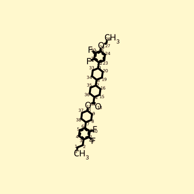 CCCc1ccc(C2CCC(OC(=O)C3CCC(C4CCC(c5ccc(OCC)c(F)c5F)CC4)CC3)CC2)c(F)c1F